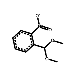 COC(OC)c1ccc[c]c1[N+](=O)[O-]